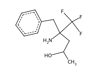 CC(O)CC(N)(Cc1ccccc1)C(F)(F)F